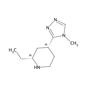 CC[C@@H]1C[C@H](c2nncn2C)CCN1